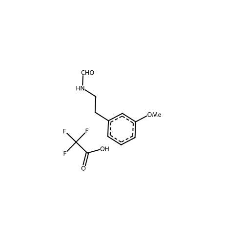 COc1cccc(CCNC=O)c1.O=C(O)C(F)(F)F